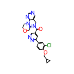 O=C(NCc1cncnc1N1CCOCC1)c1cnnc(-c2ccc(OCC3CC3)c(Cl)c2)c1